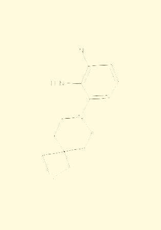 Nc1cccc(N2CCC3(CC2)COC3)c1N